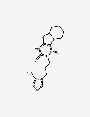 Cc1cncn1CCCn1c(=S)[nH]c2c(c1=O)C1CCCCC1S2